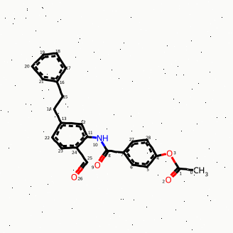 CC(=O)Oc1ccc(C(=O)Nc2cc(CCc3ccccc3)ccc2C=O)cc1